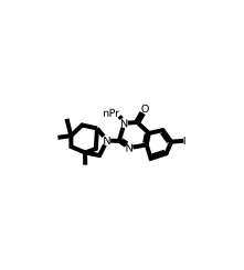 CCCn1c(N2CC3(C)CC2CC(C)(C)C3)nc2ccc(I)cc2c1=O